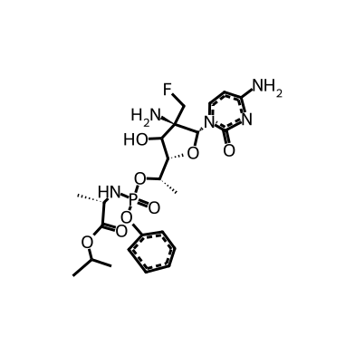 CC(C)OC(=O)[C@H](C)NP(=O)(Oc1ccccc1)O[C@@H](C)[C@H]1O[C@@H](n2ccc(N)nc2=O)[C@@](N)(CF)C1O